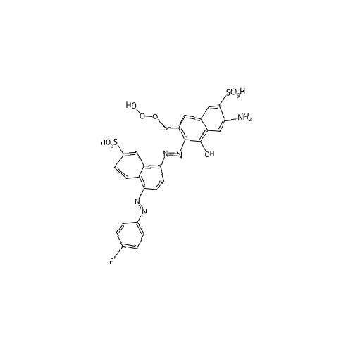 Nc1cc2c(O)c(N=Nc3ccc(N=Nc4ccc(F)cc4)c4ccc(S(=O)(=O)O)cc34)c(SOOO)cc2cc1S(=O)(=O)O